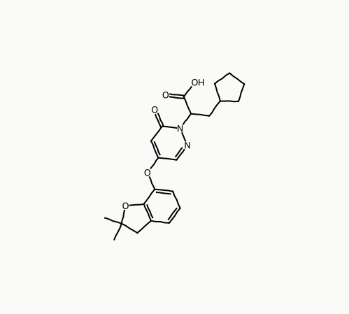 CC1(C)Cc2cccc(Oc3cnn(C(CC4CCCC4)C(=O)O)c(=O)c3)c2O1